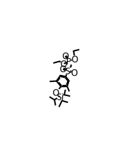 CCOP(=O)(CS(=O)(=O)c1cc(C)c(O[Si](C(C)C)(C(C)C)C(C)C)c(C)c1)OCC